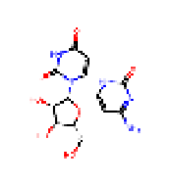 Nc1cc[nH]c(=O)n1.O=c1ccn([C@@H]2O[C@H](CO)[C@@H](O)[C@H]2O)c(=O)[nH]1